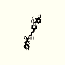 O=C(NCCCCC1CCN(C(=O)c2cccc(Cl)c2Cl)CC1)c1cc2ccncc2s1